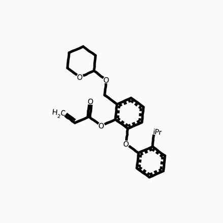 C=CC(=O)Oc1c(COC2CCCCO2)cccc1Oc1ccccc1C(C)C